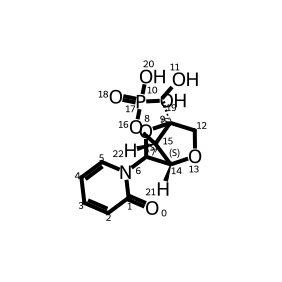 O=c1ccccn1C1O[C@@]2(CO)CO[C@H]1[C@@H]2OP(=O)(O)O